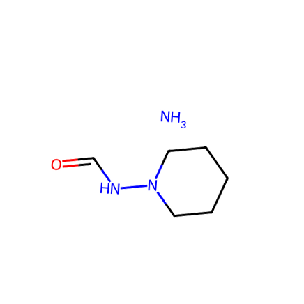 N.O=CNN1CCCCC1